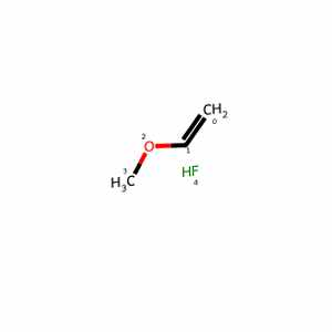 C=COC.F